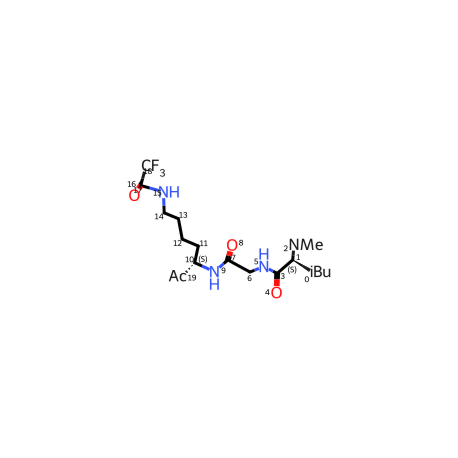 CCC(C)[C@H](NC)C(=O)NCC(=O)N[C@@H](CCCCNC(=O)C(F)(F)F)C(C)=O